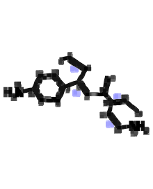 C=C(/C=C(\C=C/C)c1ccc(N)cc1)C(/C=C\N)=C/C